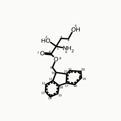 NC(O)(CCO)C(=O)OCC1c2ccccc2-c2ccccc21